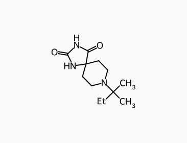 CCC(C)(C)N1CCC2(CC1)NC(=O)NC2=O